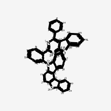 c1ccc(-c2nc(-c3ccccc3-n3c4ccccc4c4c5c(ccc43)sc3ccccc35)nc3sc4ccccc4c23)cc1